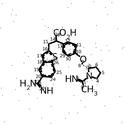 CC(=N)N1CCC[C@H]1COc1ccc(C(Cc2cc3cc(C(=N)N)ccc3s2)C(=O)O)cc1